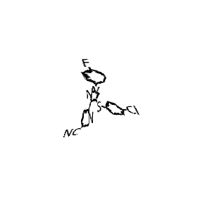 N#Cc1ccc(-c2nn(-c3ccc(F)cc3)cc2Sc2ccc(Cl)cc2)nc1